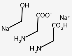 NCC(=O)O.NCC(=O)[O-].O[CH2][Na].[Na+]